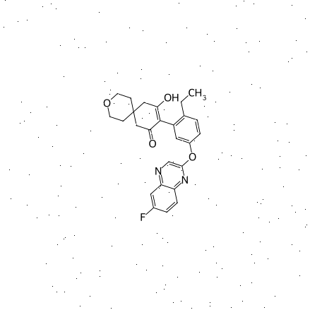 CCc1ccc(Oc2cnc3cc(F)ccc3n2)cc1C1=C(O)CC2(CCOCC2)CC1=O